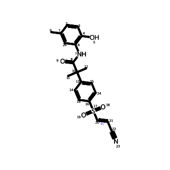 Cc1ccc(O)c(NC(=O)C(C)(C)c2ccc(S(=O)(=O)/C=C/C#N)cc2)c1